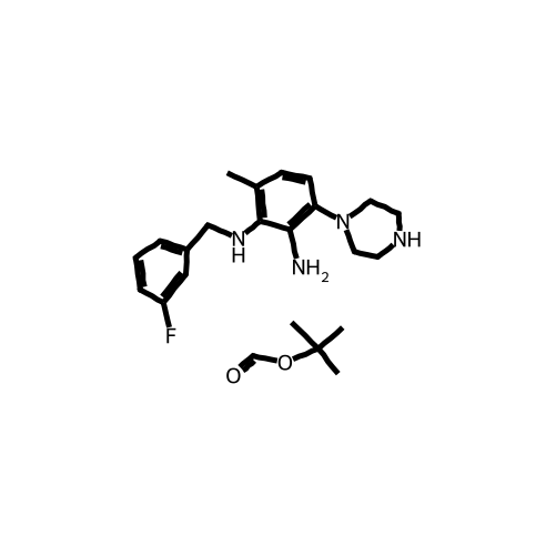 CC(C)(C)OC=O.Cc1ccc(N2CCNCC2)c(N)c1NCc1cccc(F)c1